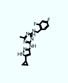 Cc1nc(NCc2ccc(F)cc2F)nc(Nc2cc(C3CC3)[nH]n2)n1